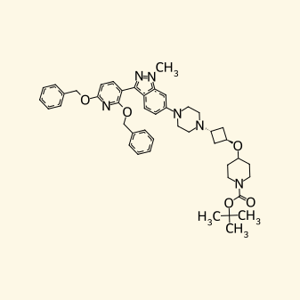 Cn1nc(-c2ccc(OCc3ccccc3)nc2OCc2ccccc2)c2ccc(N3CCN([C@H]4C[C@H](OC5CCN(C(=O)OC(C)(C)C)CC5)C4)CC3)cc21